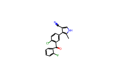 Cc1[nH]cc(C#N)c1-c1ccc(Cl)c(C(=O)c2ccccc2F)c1